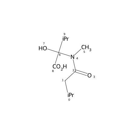 CC(C)CC(=O)N(C)C(O)(C(=O)O)C(C)C